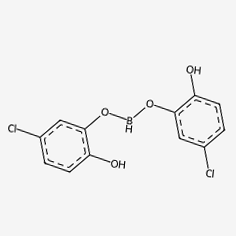 Oc1ccc(Cl)cc1OBOc1cc(Cl)ccc1O